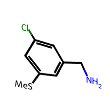 CSc1cc(Cl)cc(CN)c1